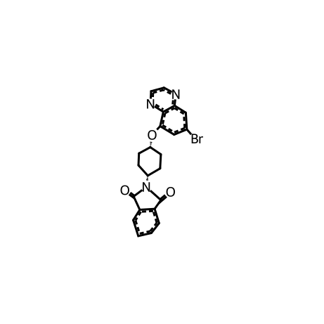 O=C1c2ccccc2C(=O)N1[C@H]1CC[C@@H](Oc2cc(Br)cc3nccnc23)CC1